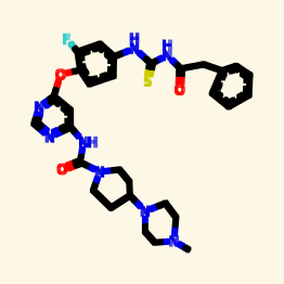 CN1CCN(C2CCN(C(=O)Nc3cc(Oc4ccc(NC(=S)NC(=O)Cc5ccccc5)cc4F)ncn3)CC2)CC1